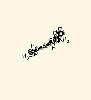 CS(=O)(=O)NC(=O)OCCSSCCOC(=O)Nc1nnc(-c2cccc(Cl)c2Cl)c(N)n1